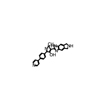 Cn1nc(-c2ccc(-c3ccncc3)cc2)c(O)c1-c1nc2cc3c(cc2[nH]1)CNC3